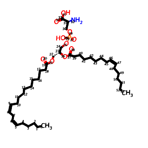 CCCCC/C=C\C/C=C\CCCCCCCCCC(=O)OC[C@H](COP(=O)(O)OC[C@H](N)C(=O)O)OC(=O)CCCCCCC/C=C\CCCCCC